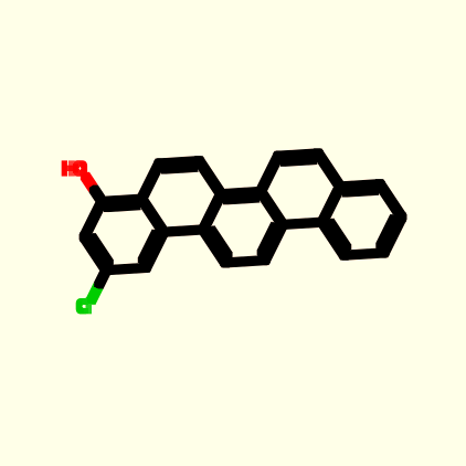 Oc1cc(Cl)cc2c1ccc1c2ccc2c3ccccc3ccc21